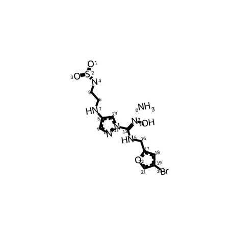 N.O=S(=O)=NCCNc1cnn(C(=NO)NCc2cc(Br)co2)c1